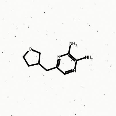 Nc1ncc(CC2CCOC2)nc1N